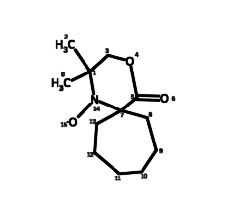 CC1(C)COC(=O)C2(CCCCCC2)N1[O]